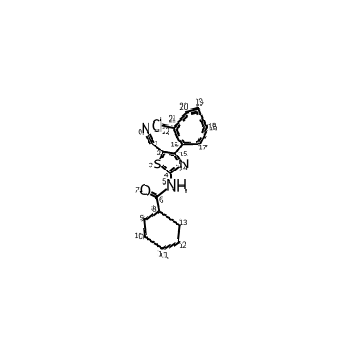 N#Cc1sc(NC(=O)C2CCCCC2)nc1-c1ccccc1Cl